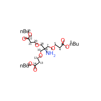 CCCCOC(=O)CCOCC(N)(COCCC(=O)OCCCC)COCCC(=O)OCCCC